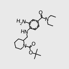 CCN(CC)C(=O)c1ccc(NCC2CCCCN2C(=O)OC(C)(C)C)c(N)c1